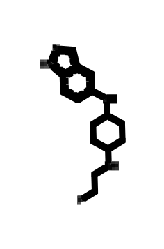 FCCNC1CCC(Nc2ccc3[nH]ncc3c2)CC1